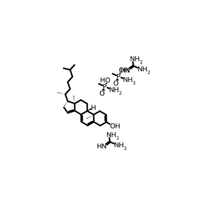 CC(C)CCC[C@@H](C)[C@H]1CC=C2C3=CC=C4CC(O)=CC[C@]4(C)[C@H]3CC[C@@]21C.CP(N)(=O)O.CP(N)(=O)O.N=C(N)N.N=C(N)N